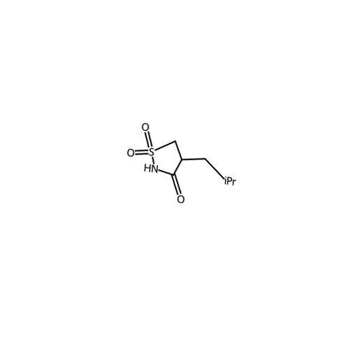 CC(C)CC1CS(=O)(=O)NC1=O